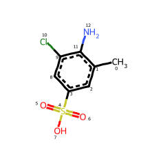 Cc1cc(S(=O)(=O)O)cc(Cl)c1N